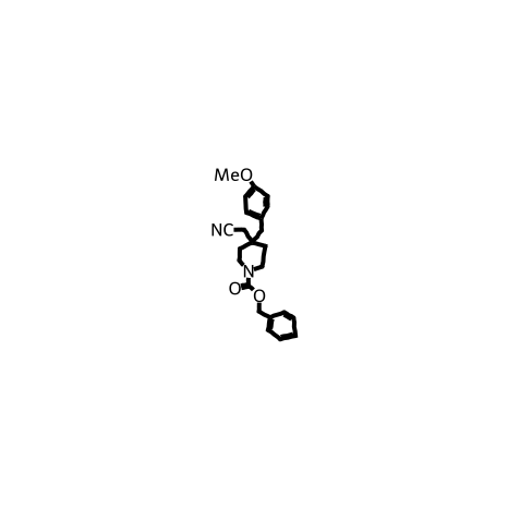 COc1ccc(CC2(CC#N)CCN(C(=O)OCc3ccccc3)CC2)cc1